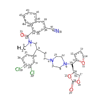 CN(CC(CCN1CCN(C(c2ccco2)[C@H]2COC(=O)O2)CC1)c1ccc(Cl)c(Cl)c1)C(=O)c1cc(C#N)cc2ccccc12